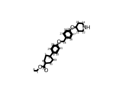 CCOC(=O)C1CCC(c2ccc(OCc3ccc(OC4CCNCC4)cc3)cc2)CC1